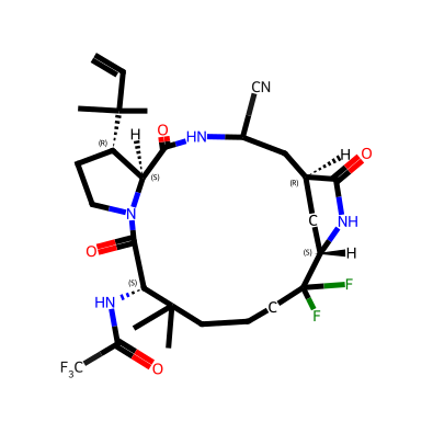 C=CC(C)(C)[C@H]1CCN2C(=O)[C@@H](NC(=O)C(F)(F)F)C(C)(C)CCCC(F)(F)[C@@H]3C[C@@H](CC(C#N)NC(=O)[C@H]12)C(=O)N3